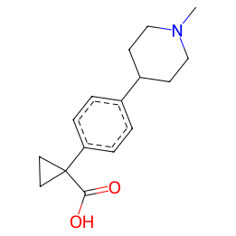 CN1CCC(c2ccc(C3(C(=O)O)CC3)cc2)CC1